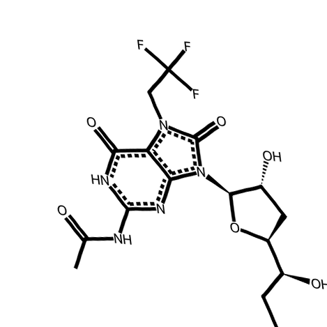 CC[C@H](O)[C@@H]1C[C@@H](O)[C@H](n2c(=O)n(CC(F)(F)F)c3c(=O)[nH]c(NC(C)=O)nc32)O1